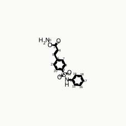 NOC(=O)/C=C/c1ccc(S(=O)(=O)Nc2ccccc2)cc1